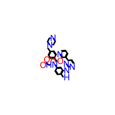 CC(=O)O.Cc1ccc(NC(=O)c2ccc(CN3CCN(C)CC3)cc2)cc1Nc1nccc(-c2cccnc2)n1